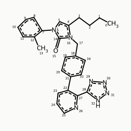 CCCCc1cn(-c2ccccc2C)c(=O)n1Cc1ccc(-c2cccnc2-c2nnn[nH]2)cc1